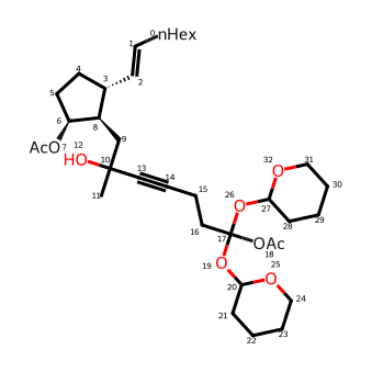 CCCCCCC=C[C@H]1CC[C@H](OC(C)=O)[C@@H]1CC(C)(O)C#CCCC(OC(C)=O)(OC1CCCCO1)OC1CCCCO1